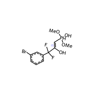 CO[PH](O)(/C=C(\O)C(F)(F)c1cccc(Br)c1)OC